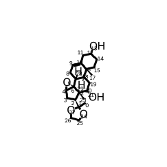 CC1([C@H]2CC3O[C@@]34[C@@H]3CC=C5C[C@@H](O)CC[C@]5(C)[C@H]3C[C@@H](O)[C@]24C)OCCO1